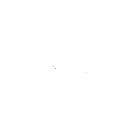 B[N+]12CCC(CC1)C1(CC(O)=NO1)C2